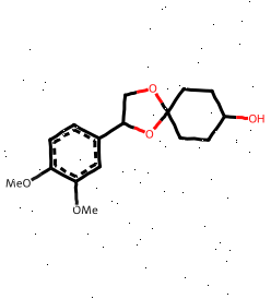 COc1ccc(C2COC3(CCC(O)CC3)O2)cc1OC